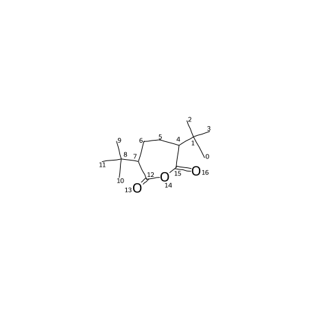 CC(C)(C)C1CCC(C(C)(C)C)C(=O)OC1=O